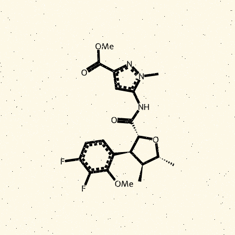 COC(=O)c1cc(NC(=O)[C@@H]2O[C@H](C)[C@@H](C)[C@H]2c2ccc(F)c(F)c2OC)n(C)n1